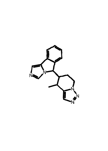 CC1c2cnnn2CCC1C1c2ccccc2-c2cncn21